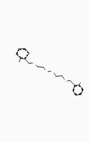 Oc1ccccc1CNCCSSCCNCc1ccccc1O